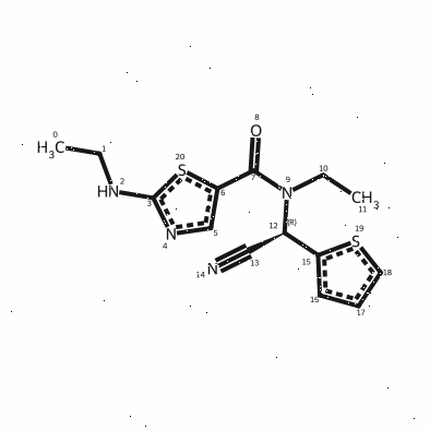 CCNc1ncc(C(=O)N(CC)[C@H](C#N)c2cccs2)s1